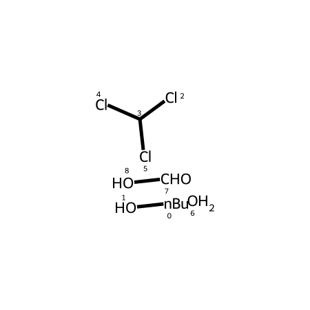 CCCCO.ClC(Cl)Cl.O.O=CO